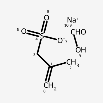 C=C(C)CS(=O)(=O)[O-].O=CO.[Na+]